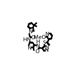 COc1ncccc1-c1cn2ncc(C(=O)Nc3cc(NC(=O)CN4CC5C4=CC=CC5(C)C)cnc3C)c2s1